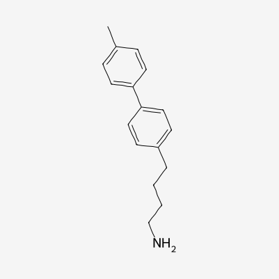 Cc1ccc(-c2ccc(CCCCN)cc2)cc1